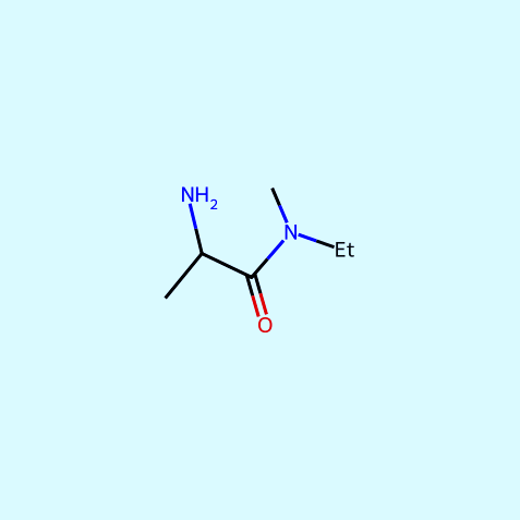 CCN(C)C(=O)C(C)N